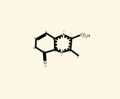 Cc1nc2c(nc1C(=O)O)C=CCC2=O